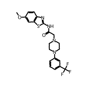 COc1ccc2nc(NC(=O)CN3CCN(c4cccc(C(F)(F)F)c4)CC3)sc2c1